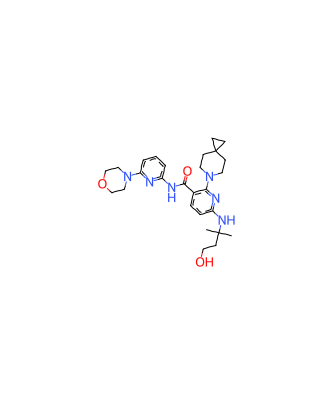 CC(C)(CCO)Nc1ccc(C(=O)Nc2cccc(N3CCOCC3)n2)c(N2CCC3(CC2)CC3)n1